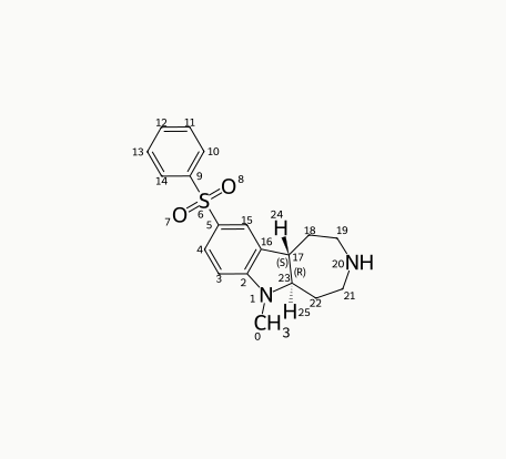 CN1c2ccc(S(=O)(=O)c3ccccc3)cc2[C@@H]2CCNCC[C@H]21